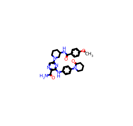 COc1ccc(C(=O)NC2CCCN(c3cnc(C(N)=O)c(Nc4ccc(N5CCCCC5=O)cc4)n3)C2)cc1